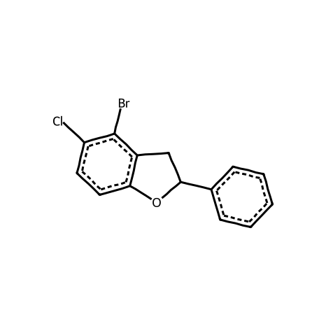 Clc1ccc2c(c1Br)CC(c1ccccc1)O2